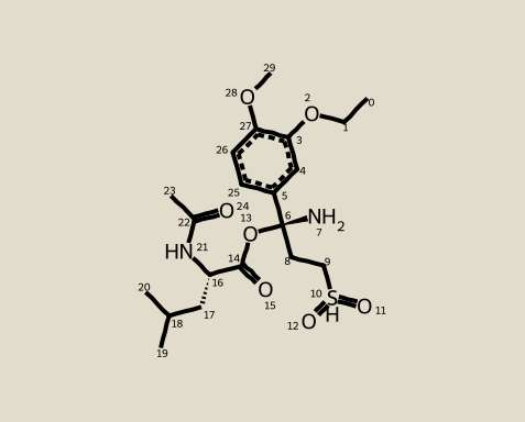 CCOc1cc([C@](N)(CC[SH](=O)=O)OC(=O)[C@H](CC(C)C)NC(C)=O)ccc1OC